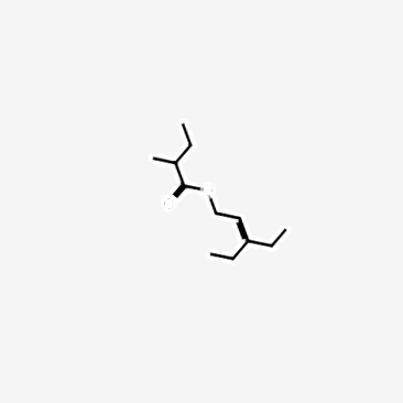 CCC(=CCOC(=O)C(C)CC)CC